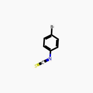 [B]c1ccc(N=C=S)cc1